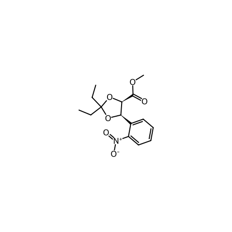 CCC1(CC)O[C@H](c2ccccc2[N+](=O)[O-])[C@H](C(=O)OC)O1